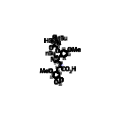 CCCCc1ncc(/C=C(\Cc2cc3c(cc2OC)OCO3)C(=O)O)n1-c1ccc(OC)cc1OCC(=O)N(O)S(=O)(=O)C(C)(C)C